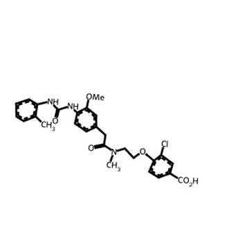 COc1cc(CC(=O)N(C)CCOc2ccc(C(=O)O)cc2Cl)ccc1NC(=O)Nc1ccccc1C